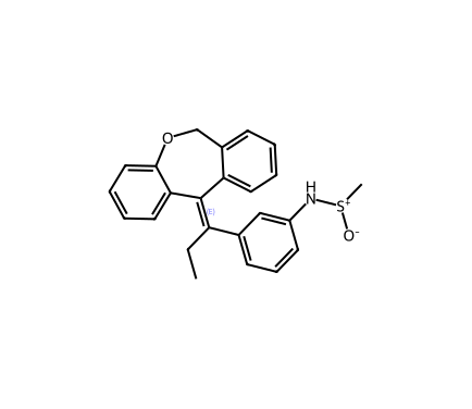 CC/C(=C1/c2ccccc2COc2ccccc21)c1cccc(N[S+](C)[O-])c1